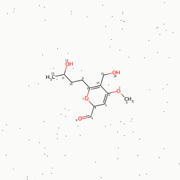 COC1=CC(C=O)OC(CCC(C)O)=C1CO